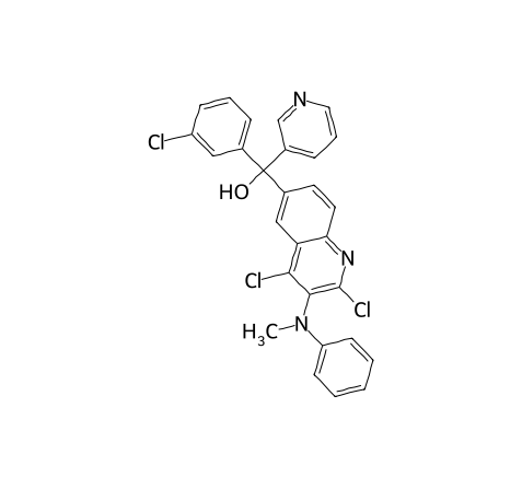 CN(c1ccccc1)c1c(Cl)nc2ccc(C(O)(c3cccnc3)c3cccc(Cl)c3)cc2c1Cl